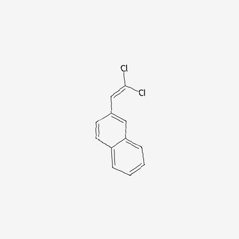 ClC(Cl)=Cc1ccc2ccccc2c1